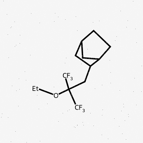 CCOC(CC1CC2CCC1C2)(C(F)(F)F)C(F)(F)F